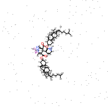 CC1=C(C(=O)O[C@H]2CC[C@@]3(C)C(=CC[C@H]4[C@@H]5CC[C@H]([C@H](C)CCCC(C)C)[C@@]5(C)CC[C@@H]43)C2)C(c2ccc[n+](C)c2)C(C(=O)O[C@H]2CC[C@@]3(C)C(=CC[C@H]4[C@@H]5CC[C@H]([C@H](C)CCCC(C)C)[C@@]5(C)CC[C@@H]43)C2)=C(C)N1.I.[I-]